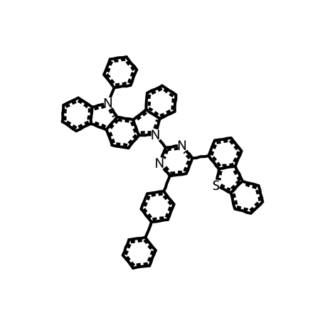 c1ccc(-c2ccc(-c3cc(-c4cccc5c4sc4ccccc45)nc(-n4c5ccccc5c5c4ccc4c6ccccc6n(-c6ccccc6)c45)n3)cc2)cc1